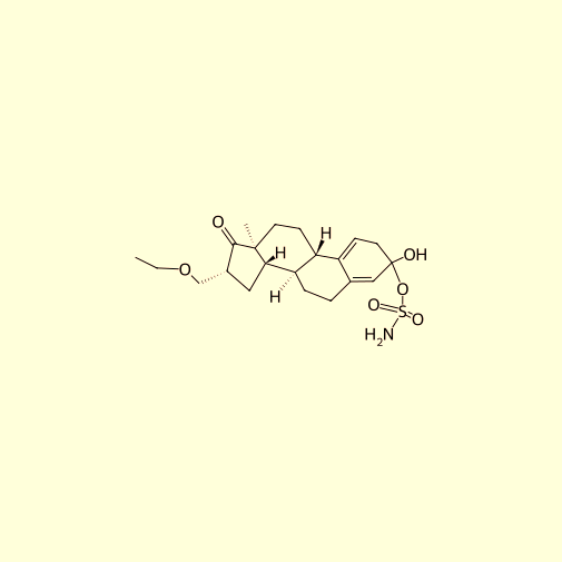 CCOC[C@H]1C[C@H]2[C@@H]3CCC4=CC(O)(OS(N)(=O)=O)CC=C4[C@H]3CC[C@]2(C)C1=O